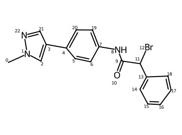 Cn1cc(-c2ccc(NC(=O)C(Br)c3ccccc3)cc2)cn1